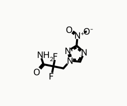 NC(=O)C(F)(F)Cn1cnc([N+](=O)[O-])n1